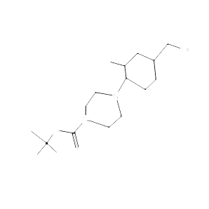 CC(C)(C)OC(=O)N1CCN(C2CCC(CO)CC2F)CC1